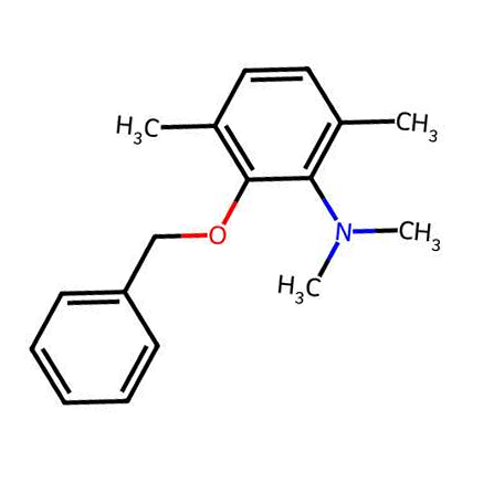 Cc1ccc(C)c(N(C)C)c1OCc1ccccc1